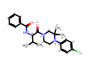 CC(C)[C@@H](NC(=O)c1ccccc1)C(=O)N1CCN(c2ccc(Cl)cc2)C(C)(C)C1